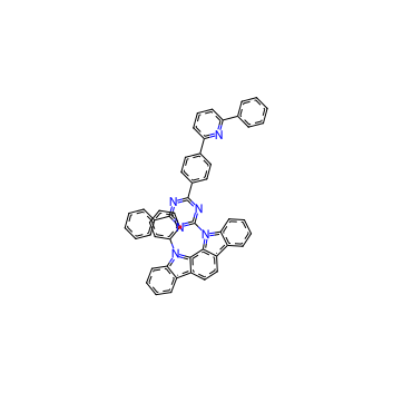 c1ccc(-c2cccc(-c3ccc(-c4nc(-c5ccccc5)nc(-n5c6ccccc6c6ccc7c8ccccc8n(-c8ccccc8)c7c65)n4)cc3)n2)cc1